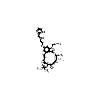 COCOc1cc(OCCNCc2ncc[nH]2)cc2c1C(=O)O[C@@H](C)[C@H](C)/C=C\C(O)C1OC(C)(C)O[C@H]1C/C=C/2